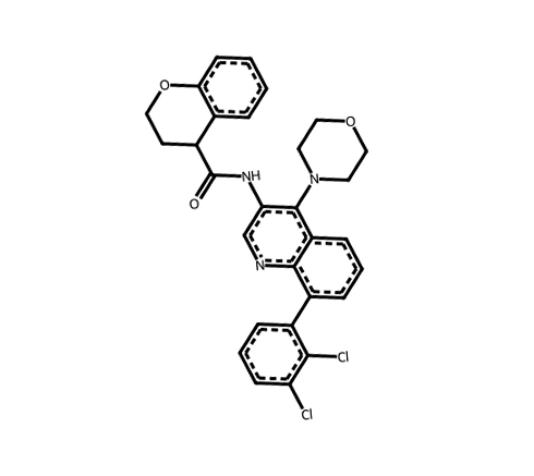 O=C(Nc1cnc2c(-c3cccc(Cl)c3Cl)cccc2c1N1CCOCC1)C1CCOc2ccccc21